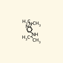 CC(C)Nc1ccnc(N(C)C)c1